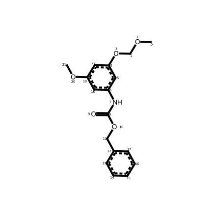 COCOc1cc(NC(=O)OCc2ccccc2)cc(OC)c1